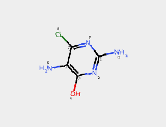 Nc1nc(O)c(N)c(Cl)n1